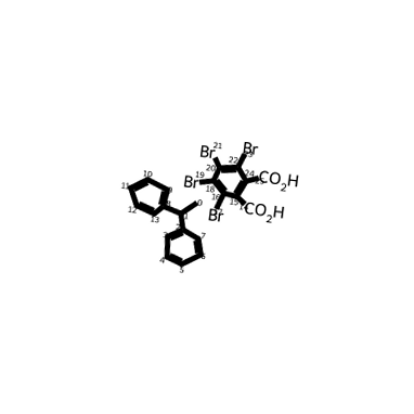 CC(c1ccccc1)c1ccccc1.O=C(O)c1c(Br)c(Br)c(Br)c(Br)c1C(=O)O